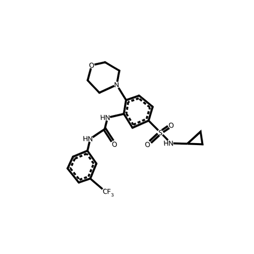 O=C(Nc1cccc(C(F)(F)F)c1)Nc1cc(S(=O)(=O)NC2CC2)ccc1N1CCOCC1